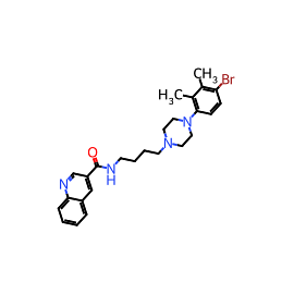 Cc1c(Br)ccc(N2CCN(CCCCNC(=O)c3cnc4ccccc4c3)CC2)c1C